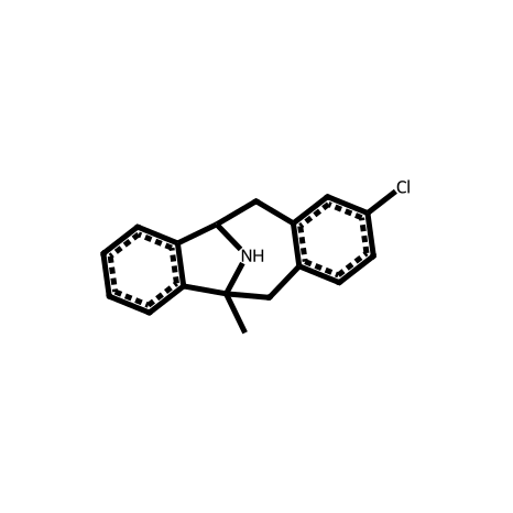 CC12Cc3ccc(Cl)cc3CC(N1)c1ccccc12